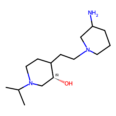 CC(C)N1CCC(CCN2CCCC(N)C2)[C@H](O)C1